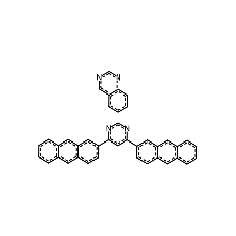 c1ccc2cc3cc(-c4cc(-c5ccc6cc7ccccc7cc6c5)nc(-c5ccc6ncncc6c5)n4)ccc3cc2c1